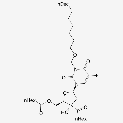 CCCCCCCCCCCCCCCCOCn1c(=O)c(F)cn([C@H]2C[C@@](O)(C(=O)CCCCCC)[C@@H](COC(=O)CCCCCC)O2)c1=O